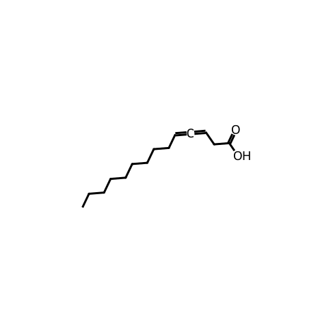 CCCCCCCCCC=C=CCC(=O)O